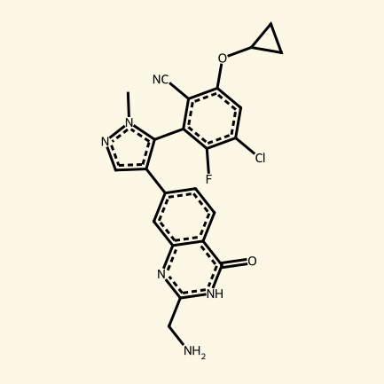 Cn1ncc(-c2ccc3c(=O)[nH]c(CN)nc3c2)c1-c1c(F)c(Cl)cc(OC2CC2)c1C#N